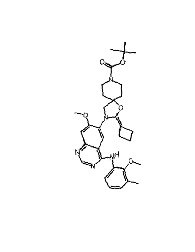 COc1cc2ncnc(Nc3cccc(C)c3OC)c2cc1N1CC2(CCN(C(=O)OC(C)(C)C)CC2)OC1=C1CCC1